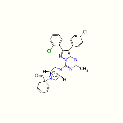 Cc1nc(N2C[C@@H]3C[C@H]2CN3C2(C=O)C=CC=CC2)n2nc(-c3ccccc3Cl)c(-c3ccc(Cl)cc3)c2n1